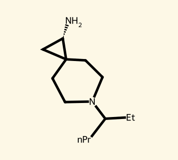 CCCC(CC)N1CCC2(CC1)C[C@@H]2N